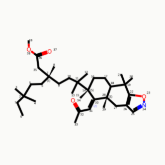 CCC(C)(C)CC[C@@](C)(CCC(C)(C)[C@]1(C)CCC2C(C)(C)c3oncc3C[C@]2(C)/C1=C/C(C)=O)CC(=O)OC